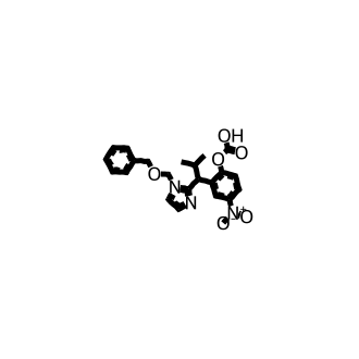 CC(C)C(c1cc([N+](=O)[O-])ccc1OC(=O)O)c1nccn1COCc1ccccc1